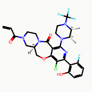 C=CC(=O)N1CCN2C(=O)c3c(N4CCN(C(F)(F)F)[C@H](C)[C@@H]4C)nc(-c4c(O)cccc4F)c(Cl)c3OC[C@H]2C1